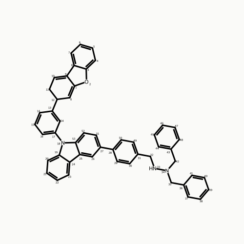 C1=c2oc3ccccc3c2=CCC1c1cccc(-n2c3ccccc3c3cc(-c4ccc(CNN(Cc5ccccc5)Cc5ccccc5)cc4)ccc32)c1